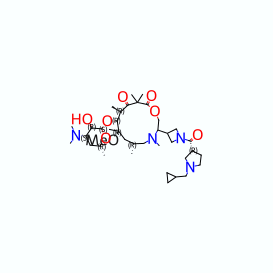 CO[C@]1(C)C[C@@H](C)CN(C)C(C2CN(C(=O)[C@@H]3CCN(CC4CC4)C3)C2)COC(=O)C(C)(C)C(=O)[C@H](C)[C@H]1O[C@@H]1O[C@H](C)C[C@H](N(C)C)[C@H]1O